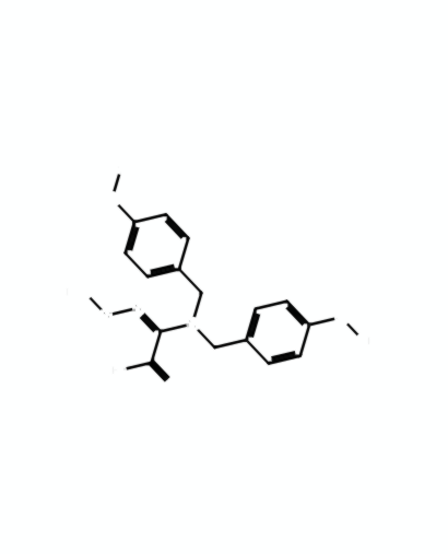 CNN=C(C(=O)O)N(Cc1ccc(OC)cc1)Cc1ccc(OC)cc1